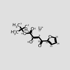 CC(C)(C)OC(=O)C([O-])=CC(=O)c1ccco1.[Li+]